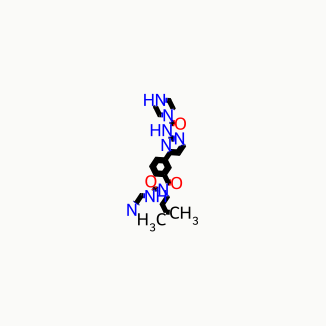 CC(C)CCN(C(=O)NCC#N)C(=O)c1cccc(-c2ccnc(NC(=O)N3CCNCC3)n2)c1